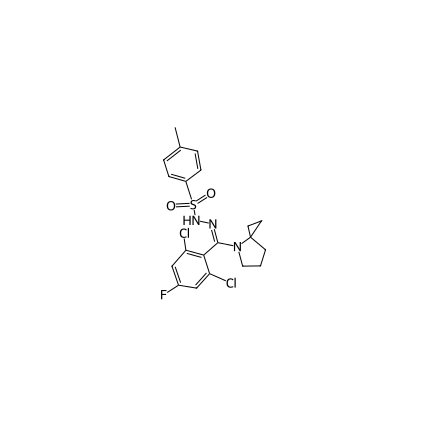 Cc1ccc(S(=O)(=O)N/N=C(\c2c(Cl)cc(F)cc2Cl)N2CCCC23CC3)cc1